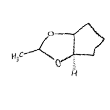 CC1OC2CCC[C@H]2O1